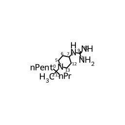 CCCCCC(C)(CCC)N1CCC(NC(=N)N)CC1